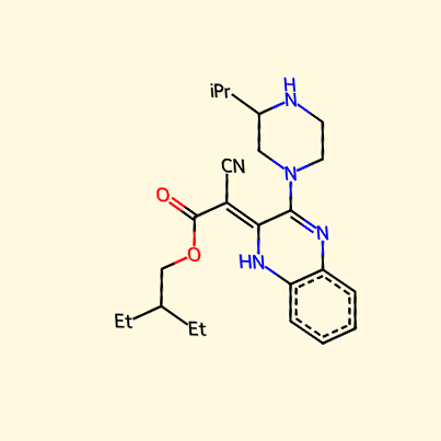 CCC(CC)COC(=O)C(C#N)=C1Nc2ccccc2N=C1N1CCNC(C(C)C)C1